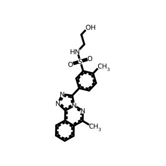 Cc1ccc(-c2nnc3c4ccccc4c(C)nn23)cc1S(=O)(=O)NCCO